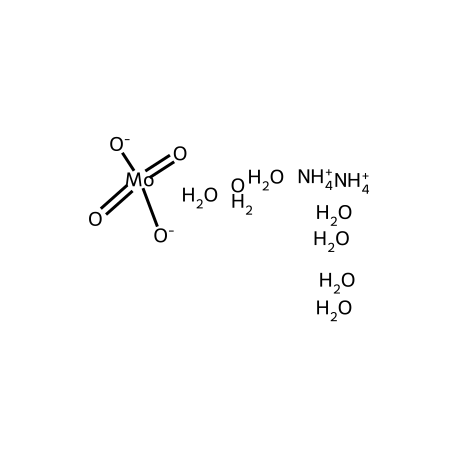 O.O.O.O.O.O.O.[NH4+].[NH4+].[O]=[Mo](=[O])([O-])[O-]